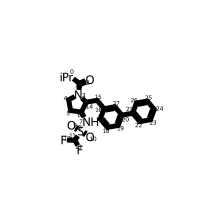 CC(C)C(=O)N1CCC(NS(=O)(=O)C(F)F)C1Cc1cccc(-c2ccccc2)c1